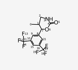 CC1CNC(=O)OC1c1cc(C(F)(F)F)cc(C(F)(F)F)c1